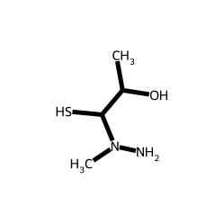 CC(O)C(S)N(C)N